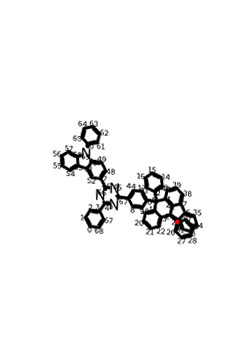 c1ccc(-c2nc(-c3ccc(C4(c5ccccc5)c5ccccc5C5(c6ccccc6)c6ccccc6-c6cccc4c65)cc3)nc(-c3ccc4c(c3)c3ccccc3n4-c3ccccc3)n2)cc1